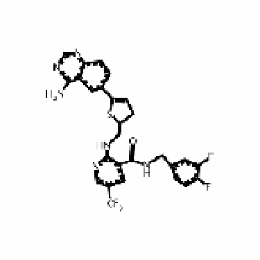 Nc1ncnc2ccc(C3=CCC(CNc4ncc(C(F)(F)F)cc4C(=O)NCc4ccc(F)c(F)c4)S3)cc12